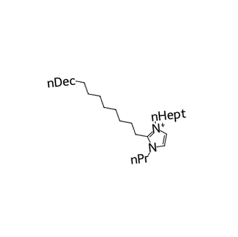 CCCCCCCCCCCCCCCCCCc1n(CCC)cc[n+]1CCCCCCC